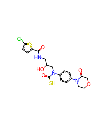 O=C(NCC(O)CN(C(=O)S)c1ccc(N2CCOCC2=O)cc1)c1ccc(Cl)s1